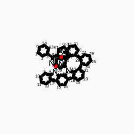 c1ccc(-c2nc(-n3c4ccccc4c4ccc5c6cccc7c8ccccc8c8cccc9sc%10cccc(c%10c98)n(c76)c5c43)nc3ccccc23)cc1